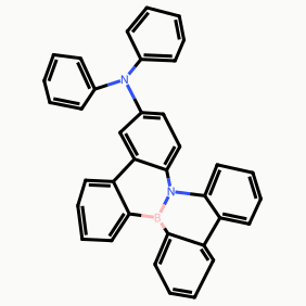 c1ccc(N(c2ccccc2)c2ccc3c(c2)-c2ccccc2B2c4ccccc4-c4ccccc4N23)cc1